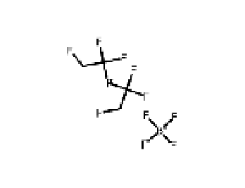 FCC(F)(F)[I+]C(F)(F)CF.F[B-](F)(F)F